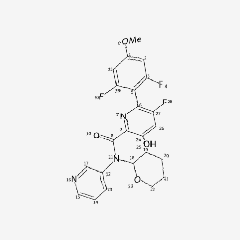 COc1cc(F)c(-c2nc(C(=O)N(c3cccnc3)C3CCCCO3)c(O)cc2F)c(F)c1